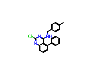 Cc1ccc(CNc2nc(Cl)nc3cccc(-c4ccccc4)c23)cc1